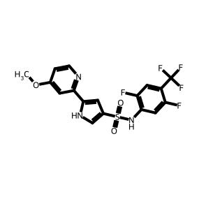 COc1ccnc(-c2cc(S(=O)(=O)Nc3cc(F)c(C(F)(F)F)cc3F)c[nH]2)c1